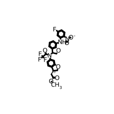 COC(=O)C[C@@H]1COc2cc(N(C(=O)C(F)(F)F)C3COc4c(Nc5cc(F)ccc5[N+](=O)[O-])cccc43)ccc21